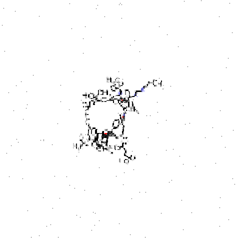 CCC/C=C/C=C/C(=O)O[C@H]1/C(=C/C(=O)OC)CC2CC([C@@H](C)O)OC(=O)CCCC3CC(OC(C)=O)C(C)(C)C(COC)(C[C@@H]4CC(OC(=O)CCC(=O)O)C[C@H](/C=C/C(C)(C)C1(O)O2)O4)O3